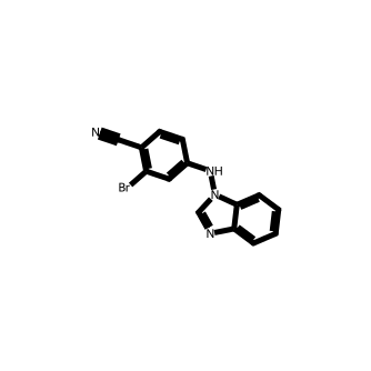 N#Cc1ccc(Nn2cnc3ccccc32)cc1Br